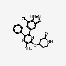 Nc1nc(-c2ccccc2)c(-c2cc(Cl)c3[nH]ncc3c2)nc1OC1CCNC(=O)C1